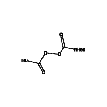 CCCCCCC(=O)OOC(=O)C(C)CC